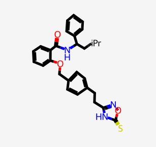 CC(C)CC(NC(=O)c1ccccc1OCc1ccc(CCc2noc(=S)[nH]2)cc1)c1ccccc1